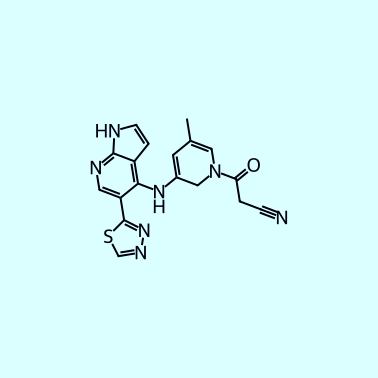 CC1=CN(C(=O)CC#N)CC(Nc2c(-c3nncs3)cnc3[nH]ccc23)=C1